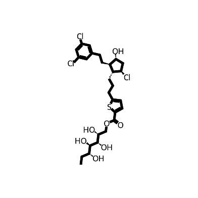 CC[C@@H](O)[C@@H](O)[C@@H](O)[C@H](O)COC(=O)c1ccc(CCC[C@@H]2[C@@H](CCc3cc(Cl)cc(Cl)c3)[C@H](O)C[C@H]2Cl)s1